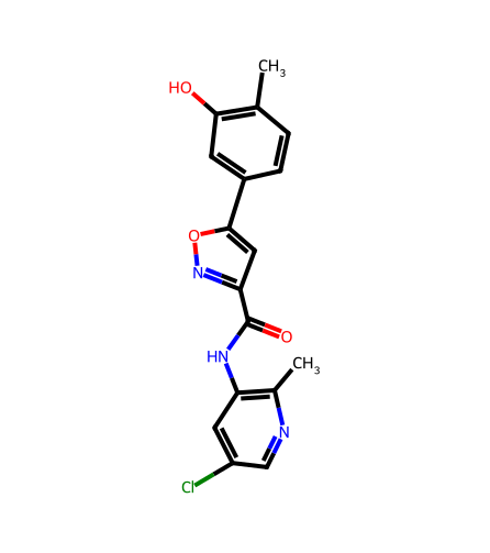 Cc1ccc(-c2cc(C(=O)Nc3cc(Cl)cnc3C)no2)cc1O